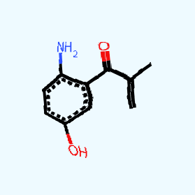 C=C(C)C(=O)c1cc(O)ccc1N